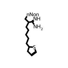 CCCCCCCCCCC(CCCCCC1CC=CS1)C(=N)N